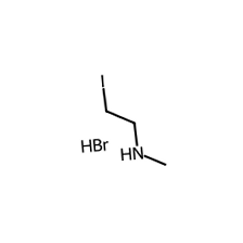 Br.CNCCI